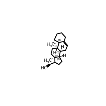 C#CC1CC[C@H]2[C@@H]3CC=C4CCCC[C@]4(C)[C@H]3CC[C@]12C